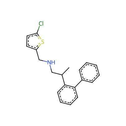 CC(CNCc1ccc(Cl)s1)c1ccccc1-c1ccccc1